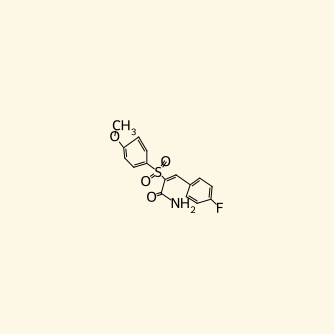 COc1ccc(S(=O)(=O)C(=Cc2ccc(F)cc2)C(N)=O)cc1